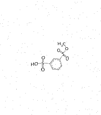 COS(=O)(=O)c1cccc(S(=O)(=O)O)c1